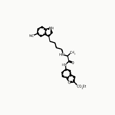 CCOC(=O)c1cc2cc(NC(=O)C(C)NCCCCc3c[nH]c4ccc(C#N)cc34)ccc2o1